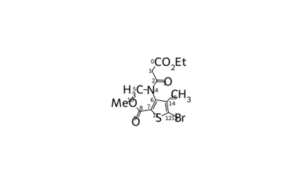 CCOC(=O)CC(=O)N(C)c1c(C(=O)OC)sc(Br)c1C